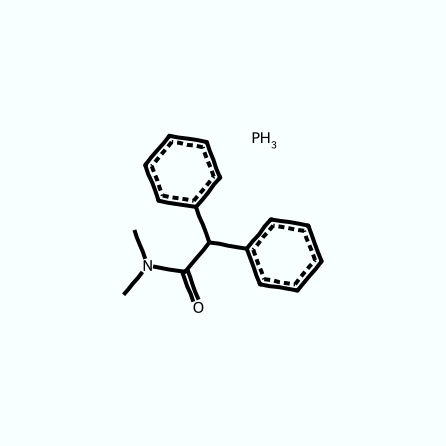 CN(C)C(=O)C(c1ccccc1)c1ccccc1.P